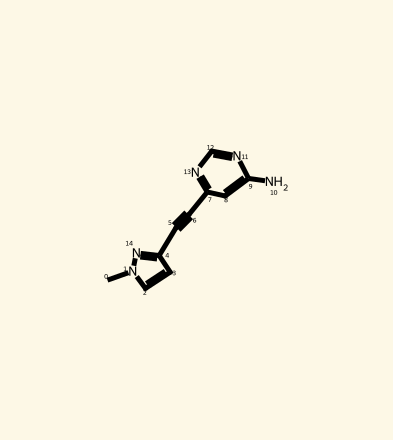 Cn1ccc(C#Cc2cc(N)ncn2)n1